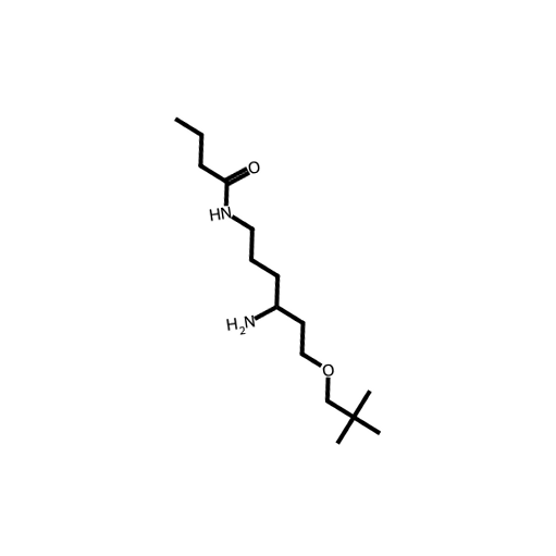 CCCC(=O)NCCCC(N)CCOCC(C)(C)C